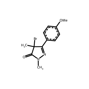 COc1ccc(C2=NN(C)C(=O)C2(C)Br)cc1